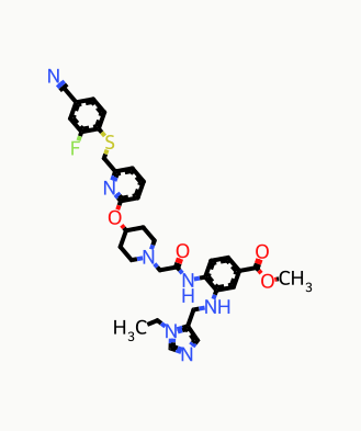 CCn1cncc1CNc1cc(C(=O)OC)ccc1NC(=O)CN1CCC(Oc2cccc(CSc3ccc(C#N)cc3F)n2)CC1